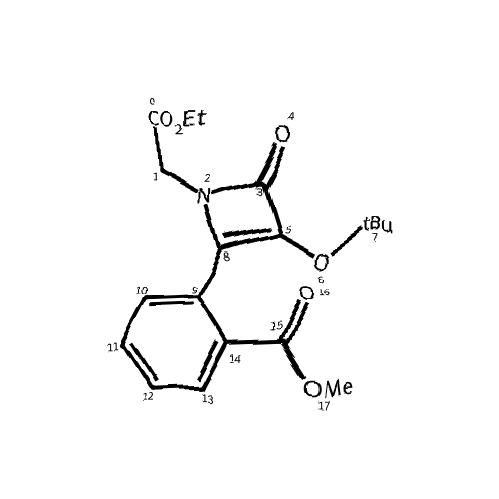 CCOC(=O)CN1C(=O)C(OC(C)(C)C)=C1c1ccccc1C(=O)OC